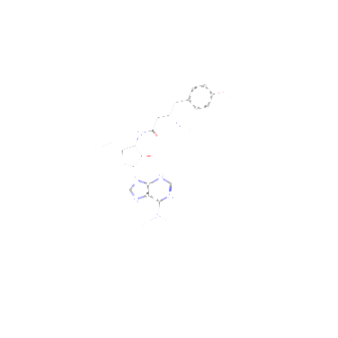 COc1ccc(C[C@H](N)CC(=O)N[C@H]2[C@@H](O)[C@H](n3cnc4c(N(C)C)ncnc43)O[C@@H]2CO)cc1